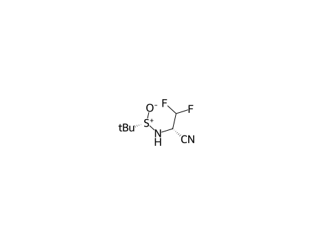 CC(C)(C)[S@+]([O-])N[C@@H](C#N)C(F)F